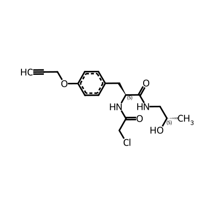 C#CCOc1ccc(C[C@H](NC(=O)CCl)C(=O)NC[C@H](C)O)cc1